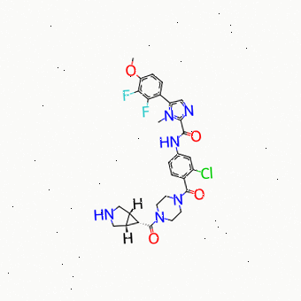 COc1ccc(-c2cnc(C(=O)Nc3ccc(C(=O)N4CCN(C(=O)[C@@H]5[C@@H]6CNC[C@@H]65)CC4)c(Cl)c3)n2C)c(F)c1F